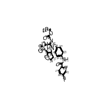 CN1/C(=N\C(=O)OC(C)(C)C)N[C@@]2(c3cc(NC(=O)c4ccc(F)cn4)ccc3F)CCOC2S1(=O)=O